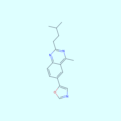 Cc1nc(CCC(C)C)nc2ccc(-c3cnco3)cc12